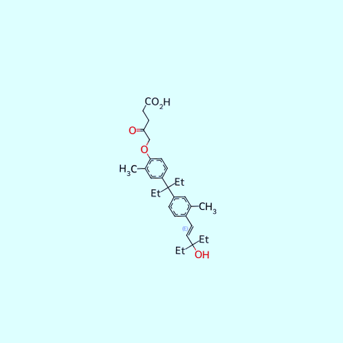 CCC(O)(/C=C/c1ccc(C(CC)(CC)c2ccc(OCC(=O)CCC(=O)O)c(C)c2)cc1C)CC